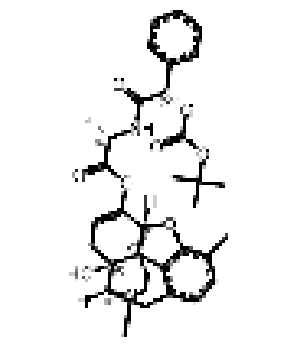 Cc1ccc2c3c1O[C@H]1C(OC(=O)[C@H](C)NC(=O)[C@@H](OC(=O)OC(C)(C)C)c4ccccc4)=CC[C@@]4(O)[C@@H](C2)N(C)CC[C@]314